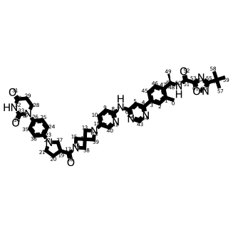 Cc1cc(-c2cc(Nc3ccc(N4CC5(CN(C(=O)C6CCN(c7ccc(N8CCC(=O)NC8=O)cc7)C6)C5)C4)cn3)ncn2)ccc1[C@@H](C)NC(=O)c1nc(C(C)(C)C)no1